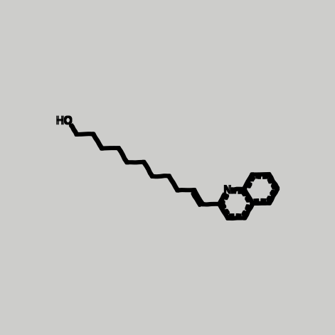 OCCCCCCCCCC=Cc1ccc2ccccc2n1